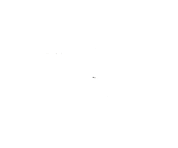 CCOC(=O)C(C)O[C@H]1CCCCO1